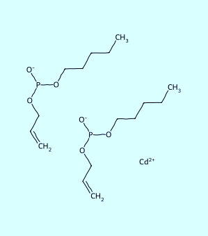 C=CCOP([O-])OCCCCC.C=CCOP([O-])OCCCCC.[Cd+2]